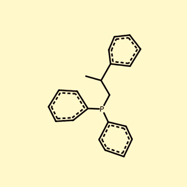 CC(CP(c1ccccc1)c1ccccc1)c1ccccc1